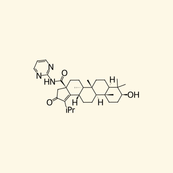 CC(C)C1=C2[C@H]3CC[C@@H]4[C@@]5(C)CC[C@H](O)C(C)(C)[C@@H]5CC[C@@]4(C)[C@]3(C)CC[C@@]2(C(=O)Nc2ncccn2)CC1=O